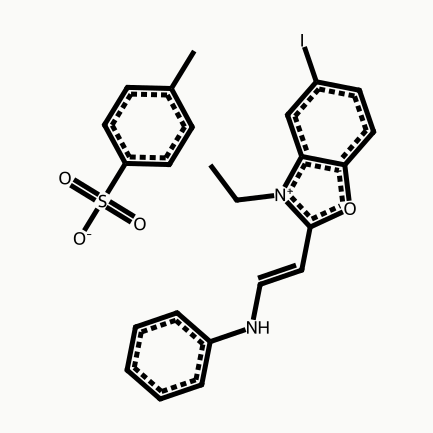 CC[n+]1c(C=CNc2ccccc2)oc2ccc(I)cc21.Cc1ccc(S(=O)(=O)[O-])cc1